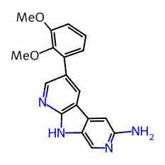 COc1cccc(-c2cnc3[nH]c4cnc(N)cc4c3c2)c1OC